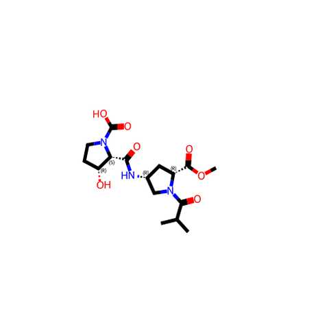 COC(=O)[C@H]1C[C@@H](NC(=O)[C@@H]2[C@H](O)CCN2C(=O)O)CN1C(=O)C(C)C